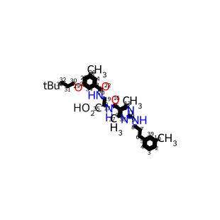 Cc1cccc(CCCNc2nc(C)c(C(=O)N[C@@H](CNC(=O)c3cc(C)cc(OCCCC(C)(C)C)c3)C(=O)O)c(C)n2)c1